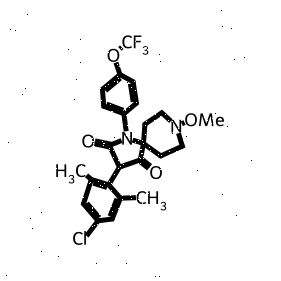 CON1CCC2(CC1)C(=O)C(c1c(C)cc(Cl)cc1C)C(=O)N2c1ccc(OC(F)(F)F)cc1